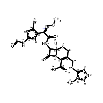 CO/N=C(\C(=O)NC1C(=O)N2C(C(=O)O)=C(CSc3nnnn3C)CS[C@H]12)c1nc(NC=O)sc1Br